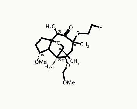 COCO[C@@H]1C[C@@](C)(SCCF)C(=O)[C@H](C)C23CC[C@@H](C)[C@]1(C)C2[C@H](OC)CC3